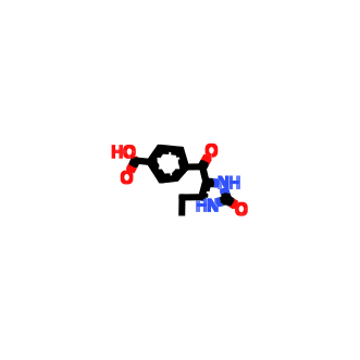 CCc1[nH]c(=O)[nH]c1C(=O)c1ccc(C(=O)O)cc1